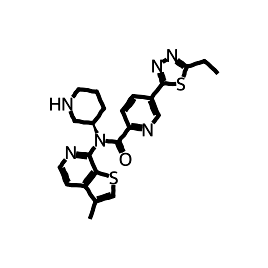 CCc1nnc(-c2ccc(C(=O)N(c3nccc4c(C)csc34)[C@@H]3CCCNC3)nc2)s1